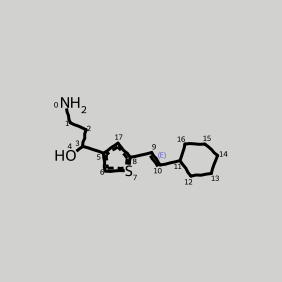 NCCC(O)c1csc(/C=C/C2CCCCC2)c1